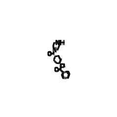 O=C(O[C@H]1CC[C@@H](C(=O)N2CCNCC2)CC1)c1ccccc1